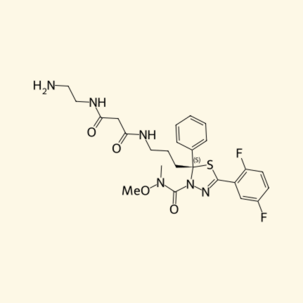 CON(C)C(=O)N1N=C(c2cc(F)ccc2F)S[C@@]1(CCCNC(=O)CC(=O)NCCN)c1ccccc1